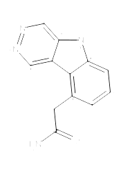 NC(=O)Cc1cccc2[nH]c3cnncc3c12